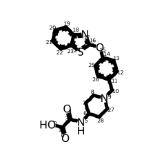 O=C(O)C(=O)NC1CCN(Cc2ccc(Oc3nc4ccccc4s3)cc2)CC1